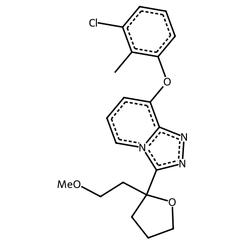 COCCC1(c2nnc3c(Oc4cccc(Cl)c4C)cccn23)CCCO1